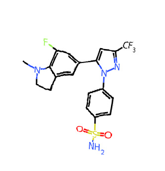 CN1CCc2cc(-c3cc(C(F)(F)F)nn3-c3ccc(S(N)(=O)=O)cc3)cc(F)c21